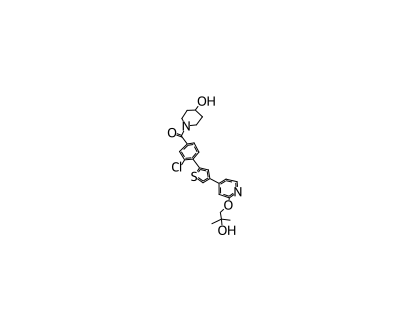 CC(C)(O)COc1cc(-c2csc(-c3ccc(C(=O)N4CCC(O)CC4)cc3Cl)c2)ccn1